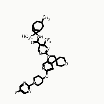 CC1CC2CC(C1)C(NC(=O)c1cnc(N3CC4(CCOCC4)c4cc(OC5CCN(c6ncc(F)cn6)CC5)ncc43)nc1C(F)(F)F)(C(=O)O)C2